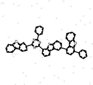 c1ccc(-c2nc(-c3ccc4c(c3)oc3ccccc34)nc(-c3cccc4c3sc3ccc(-c5ccc(-c6ccccc6)c6oc7ccccc7c56)cc34)n2)cc1